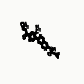 CCCC(=O)c1cc(C)c(-c2cc3cnc(NC(=O)C4CC4)cc3cn2)cn1